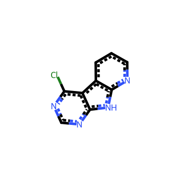 Clc1ncnc2[nH]c3ncccc3c12